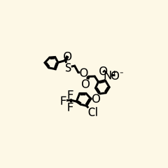 O=C(Cc1cc(Oc2ccc(C(F)(F)F)cc2Cl)ccc1[N+](=O)[O-])OCCSC(=O)c1ccccc1